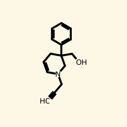 C#CCN1C=CCC(CO)(c2ccccc2)C1